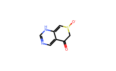 O=C1C[S+]([O-])C=C2NC=NC=C12